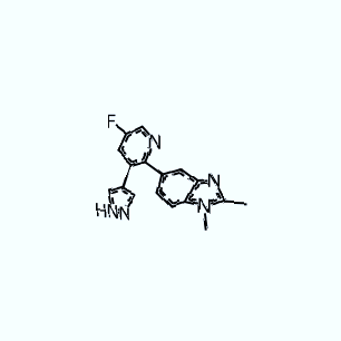 Cc1nc2cc(-c3ncc(F)cc3-c3cn[nH]c3)ccc2n1C